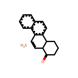 O=C1CCCC2c3ccc4ccccc4c3C=CC12.S